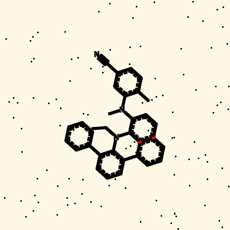 CCN(c1ccccc1N(C)c1cc(C#N)ccc1C)c1c(-c2ccccc2)cccc1-c1ccccc1